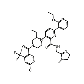 CCOc1ncccc1-c1ccc(N2CCN(C(=O)c3ccc(Cl)cc3C(F)(F)F)C[C@H]2CC)c(C(=O)NCC2=NCCN2C)n1